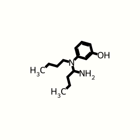 CCCCN(c1cccc(O)c1)C(N)CCC